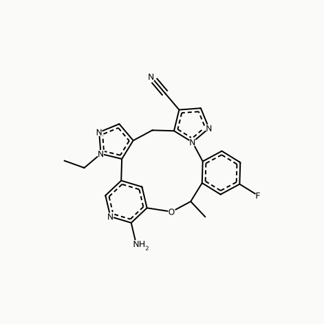 CCn1ncc2c1-c1cnc(N)c(c1)OC(C)c1cc(F)ccc1-n1ncc(C#N)c1C2